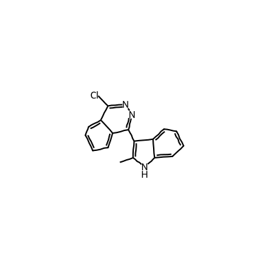 Cc1[nH]c2ccccc2c1-c1nnc(Cl)c2ccccc12